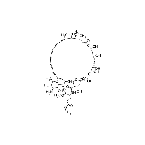 COC(=O)CC[C@H](NC(=O)[C@H]1[C@@H]2C[C@@H](O[C@@H]3O[C@H](C)[C@@H](O)[C@H](N)[C@@H]3O)/C=C/C=C/C=C/C=C/C=C/C=C/C=C/[C@H](C)[C@@H](O)[C@@H](C)[C@H](C)OC(=O)C[C@H](O)C[C@H](O)CC[C@@H](O)[C@H](O)C[C@H](O)C[C@](O)(C[C@@H]1O)O2)C(=O)OC